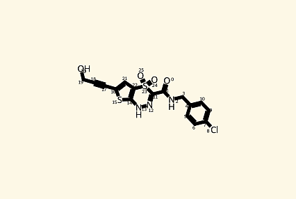 O=C(NCc1ccc(Cl)cc1)C1=NNc2sc(C#CCO)cc2S1(=O)=O